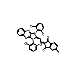 Cc1ccc2c(c1)C(=O)/C(=C/C=C1N(c3c(Cl)cccc3Cl)c3nc4ccccc4nc3N1c1c(Cl)cccc1Cl)C2=O